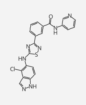 O=C(Nc1cccnc1)c1cccc(-c2nsc(Nc3ccc4[nH]ncc4c3Cl)n2)c1